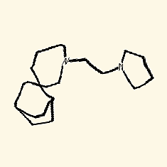 C1CCN(CCN2CCCC3(CC4CCC3CC4)C2)C1